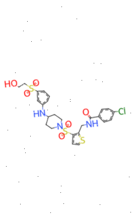 O=C(NCc1sccc1S(=O)(=O)N1CCC(Nc2cccc(S(=O)(=O)CCO)c2)CC1)c1ccc(Cl)cc1